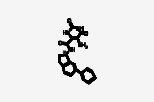 Nc1c(C(=O)N[C@@H]2CCc3ccc(-c4ccccc4)cc32)[nH]c(=O)[nH]c1=O